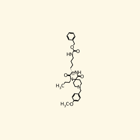 CCCN1C(=O)[C@H](CCCCNC(=O)OCc2ccccc2)NC(=O)C12CCN(Cc1ccc(OC)cc1)CC2